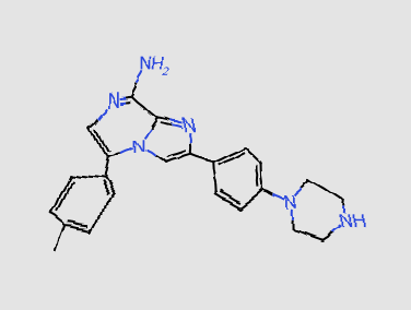 Cc1ccc(-c2cnc(N)c3nc(-c4ccc(N5CCNCC5)cc4)cn23)cc1